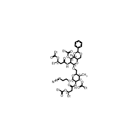 CCC(=O)O[C@H](CC)CC(=O)NC1[C@H](OCCN=[N+]=[N-])OC(CO[C@@H]2OC3COC(c4ccccc4)O[C@H]3[C@H](OC(=O)CC)C2NC(=O)C[C@@H](CC)OC(=O)CC)[C@@H](C)[C@@H]1OC(=O)CC